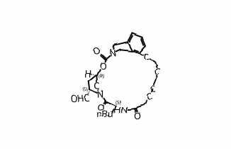 CCCC[C@@H]1NC(=O)CCCCCCCc2cccc3c2CN(C3)C(=O)O[C@@H]2C[C@@H](C=O)N(C2)C1=O